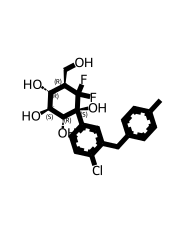 Cc1ccc(Cc2cc([C@]3(O)[C@H](O)[C@@H](O)[C@H](O)[C@@H](CO)C3(F)F)ccc2Cl)cc1